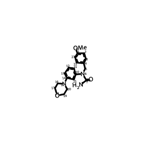 COc1ccc(CN(C(N)=O)c2cccc(N3CCOCC3)c2)cc1